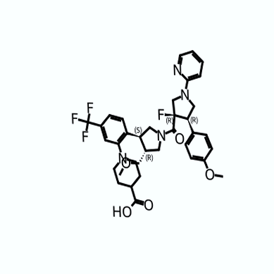 COC[C@H]1CN(C(=O)[C@]2(F)CN(c3ccccn3)C[C@H]2c2ccc(OC)cc2)C[C@@H]1c1ccc(C(F)(F)F)cc1N1CCC(C(=O)O)CC1